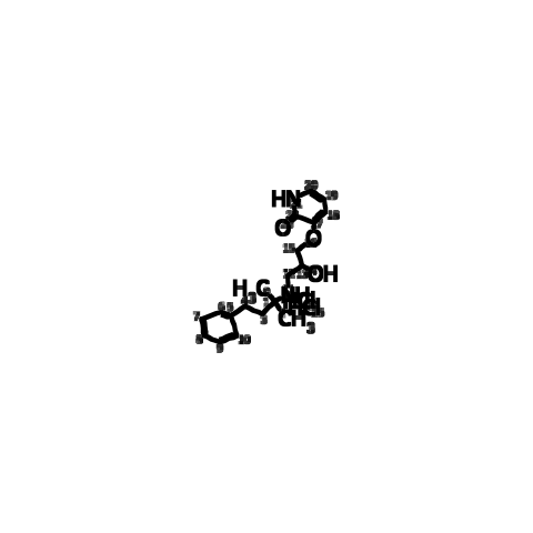 CC(C)(CCc1ccccc1)NCC(O)COc1ccc[nH]c1=O.Cl.Cl